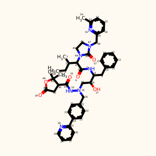 CCC(C)C(C(=O)NC(Cc1ccccc1)C(O)CN(Cc1ccc(-c2ccccn2)cc1)NC(=O)C1CC(=O)OC1(C)C)N1CCN(Cc2cccc(C)n2)C1=O